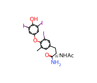 CC(=O)N[C@@H](Cc1cc(C)c(Oc2cc(I)c(O)c(I)c2)c(I)c1)C(N)=O